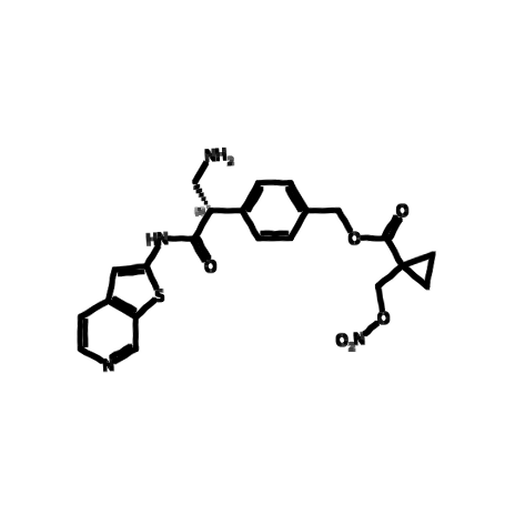 NC[C@@H](C(=O)Nc1cc2ccncc2s1)c1ccc(COC(=O)C2(CO[N+](=O)[O-])CC2)cc1